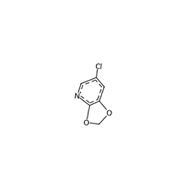 Clc1cnc2c(c1)OCO2